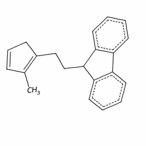 CC1=C(CCC2c3ccccc3-c3ccccc32)CC=C1